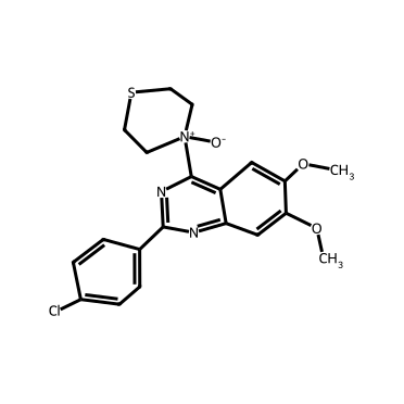 COc1cc2nc(-c3ccc(Cl)cc3)nc([N+]3([O-])CCSCC3)c2cc1OC